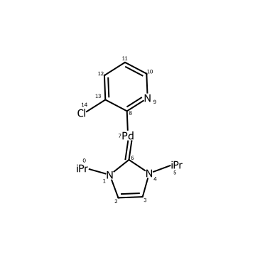 CC(C)n1ccn(C(C)C)[c]1=[Pd][c]1ncccc1Cl